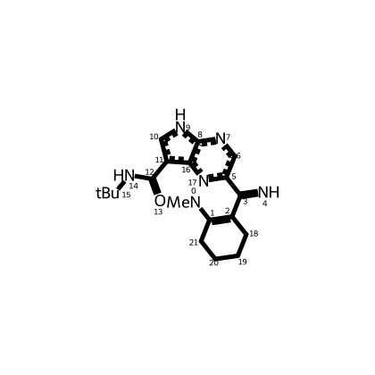 CNC1=C(C(=N)c2cnc3[nH]cc(C(=O)NC(C)(C)C)c3n2)CCCC1